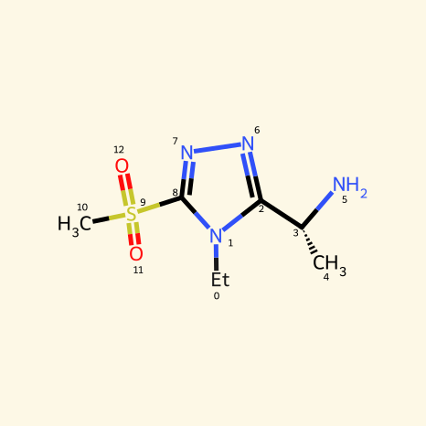 CCn1c([C@@H](C)N)nnc1S(C)(=O)=O